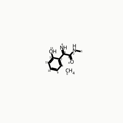 C.CNC(=O)C(=N)c1ccccc1O